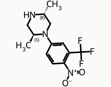 C[C@@H]1CN(c2ccc([N+](=O)[O-])c(C(F)(F)F)c2)[C@@H](C)CN1